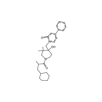 CC(CC1CCCCC1)C(=O)N1CCC(O)(Cn2cnc(-c3ccccc3)cc2=O)C(C)(C)C1